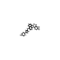 O=C1CCC(N2C(=O)c3cccc4c(Cc5cnn(C6CCNCC6)c5)cnc2c34)C(=O)N1